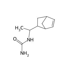 CC(NC(N)=O)C1CC2C=CC1C2